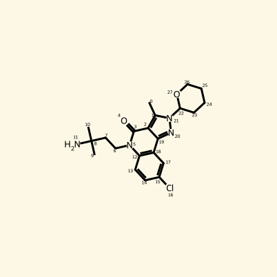 Cc1c2c(=O)n(CCC(C)(C)N)c3ccc(Cl)cc3c2nn1C1CCCCO1